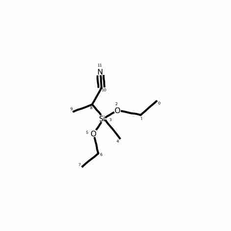 CCO[Si](C)(OCC)C(C)C#N